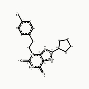 O=c1[nH]c(=O)n(CCc2ccc(Cl)cc2)c2nc(C3CCCC3)[nH]c12